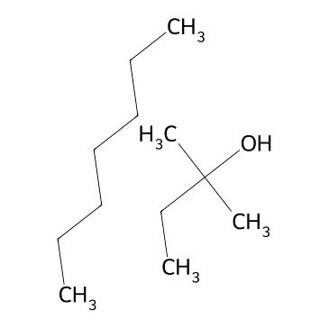 CCC(C)(C)O.CCCCCCC